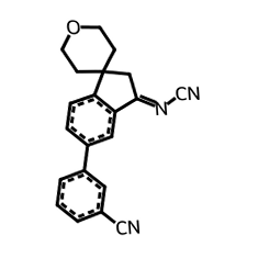 N#CN=C1CC2(CCOCC2)c2ccc(-c3cccc(C#N)c3)cc21